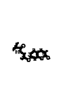 C=C(C)C(=O)NCC(C)Oc1ccc2ccc(=O)oc2c1